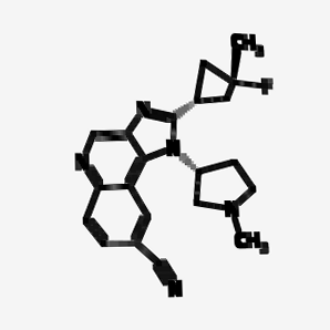 CN1CC[C@@H](n2c3c(cnc4ccc(C#N)cc43)nc2[C@H]2C[C@@](C)(F)C2)C1